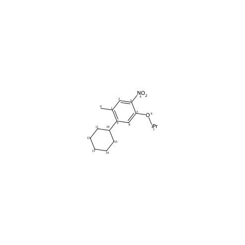 Cc1cc([N+](=O)[O-])c(OC(C)C)cc1C1CCCCC1